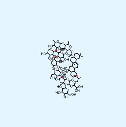 CC(O)COC(OC(OC1OC(CO)C(O)C(O)C1O)C(OC(C(=O)I)C(C)O)O[C@H]1CC[C@@]2(C)C(C1)[C@@](C)(C=O)C[C@]1(C)C2CC=C2C3CC(C)(C)CC[C@]3(C(=O)OC3OC(C)C(OC4OC(C)C(O)C(OC5OCC(O)C(O)C5O)C4O)C(O)C3OC3OC(C)C(OC4OCC(O)C(OC5OC(CO)C(O)C(O)C5O)C4O)C(O)C3O)CC[C@]21C)C(O)O